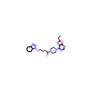 CCc1nc2c(N3CCN(C(=O)CCCOn4nnc5ccccc54)CC3)ncnc2o1